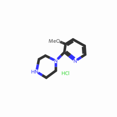 COc1cccnc1N1CCNCC1.Cl